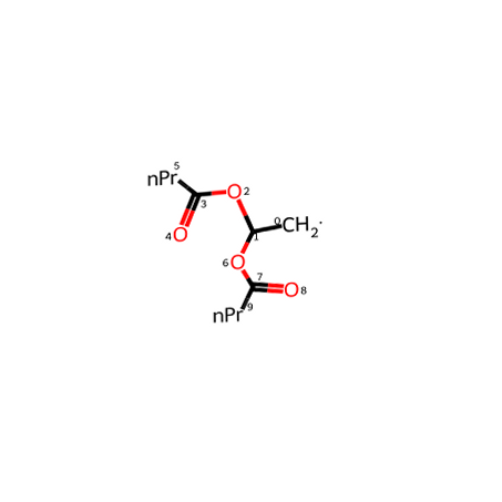 [CH2]C(OC(=O)CCC)OC(=O)CCC